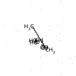 CCCCCCCCCCCCCCCCSCC(CO)CC(=O)OCC.O=P(O)(O)O